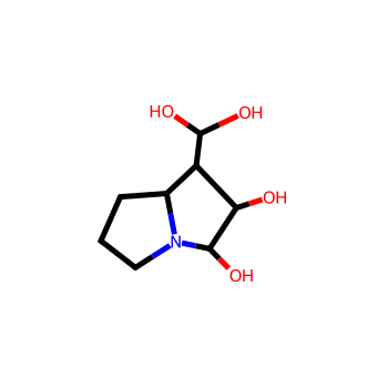 OC(O)C1C(O)C(O)N2CCCC12